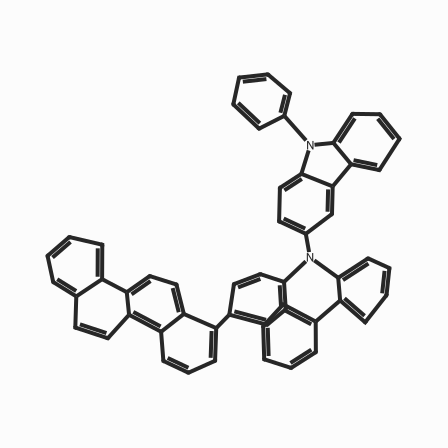 c1ccc(-c2ccccc2N(c2ccc(-c3cccc4c3ccc3c5ccccc5ccc43)cc2)c2ccc3c(c2)c2ccccc2n3-c2ccccc2)cc1